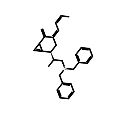 C=C1/C(=C\C=C/C)C[C@@H](C(C)CN(Cc2ccccc2)Cc2ccccc2)C2=CC12